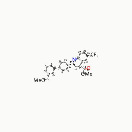 COCc1cccc(-c2ccc(-c3cc(C(=O)OC)c4cc(C(F)(F)F)ccc4n3)cc2)c1